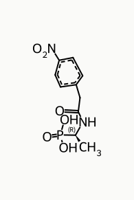 C[C@H](NC(=O)Cc1ccc([N+](=O)[O-])cc1)P(=O)(O)O